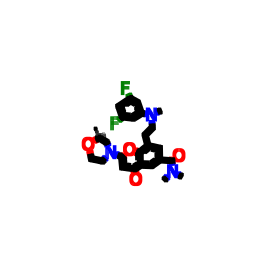 C[C@@H]1CN(c2cc(=O)c3cc(C(=O)N(C)C)cc(CCN(C)c4cc(F)cc(F)c4)c3o2)CCO1